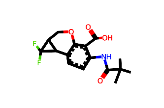 CC(C)(C)C(=O)Nc1ccc2c(c1C(=O)O)OCC1C2C1(F)F